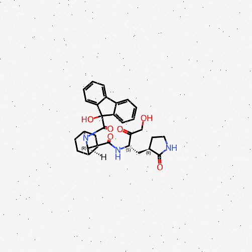 O=C1NCC[C@@H]1C[C@H](NC(=O)[C@H]1C2CCC(CC2)N1C(=O)C1(O)c2ccccc2-c2ccccc21)C(=O)CO